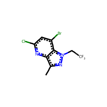 Cc1nn(CC(F)(F)F)c2c(Br)cc(Cl)nc12